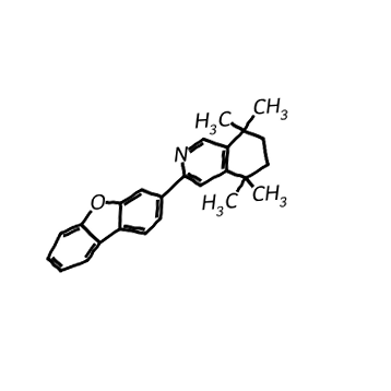 CC1(C)CCC(C)(C)c2cc(-c3ccc4c(c3)oc3ccccc34)ncc21